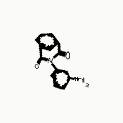 Nc1cccc(N2C(=O)c3cccc(c3)C2=O)c1